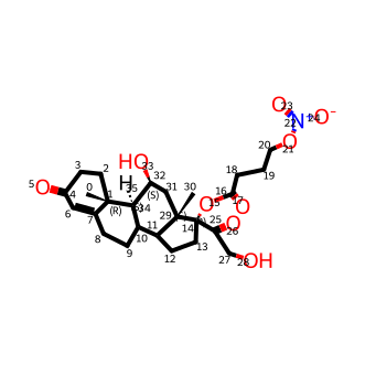 C[C@]12CCC(=O)C=C1CCC1C3CC[C@](OC(=O)CCCO[N+](=O)[O-])(C(=O)CO)[C@@]3(C)C[C@H](O)[C@@H]12